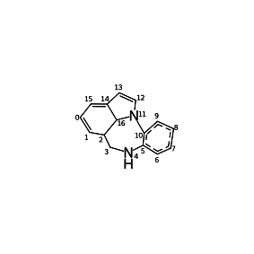 C1=CC2CNc3ccccc3N3C=CC(=C1)C23